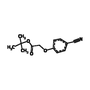 CC(C)(C)OC(=O)COc1ccc(C#N)cc1